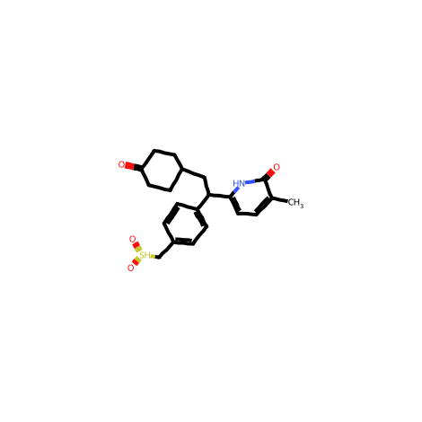 Cc1ccc(C(CC2CCC(=O)CC2)c2ccc(C[SH](=O)=O)cc2)[nH]c1=O